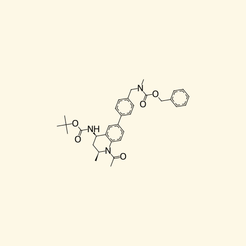 CC(=O)N1c2ccc(-c3ccc(CN(C)C(=O)OCc4ccccc4)cc3)cc2[C@H](NC(=O)OC(C)(C)C)C[C@@H]1C